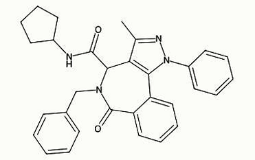 Cc1nn(-c2ccccc2)c2c1C(C(=O)NC1CCCC1)N(Cc1ccccc1)C(=O)c1ccccc1-2